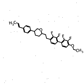 C/C=C/c1ccc(C2CCC(CCc3ccc(-c4ccc(OCC)c(F)c4F)c(F)c3F)OC2)cc1